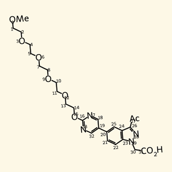 COCCOCCOCCOCCOCCOc1ncc(-c2ccc3c(c2)c(C(C)=O)nn3CC(=O)O)cn1